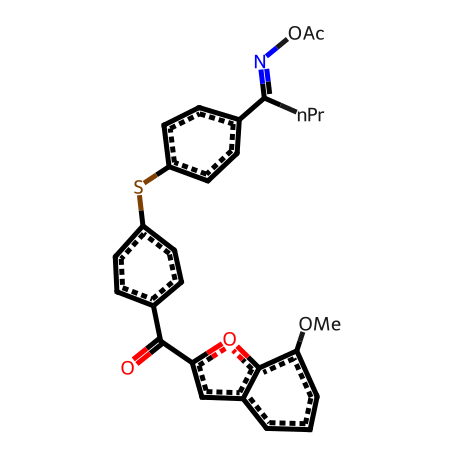 CCCC(=NOC(C)=O)c1ccc(Sc2ccc(C(=O)c3cc4cccc(OC)c4o3)cc2)cc1